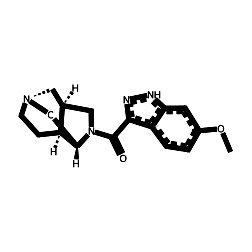 COc1ccc2c(C(=O)N3C[C@@H]4C[N@@]5CC[C@@H]4[C@@H]3C5)n[nH]c2c1